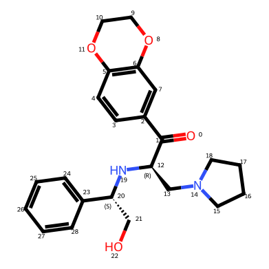 O=C(c1ccc2c(c1)OCCO2)[C@@H](CN1CCCC1)N[C@H](CO)c1ccccc1